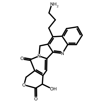 NCCCc1c2c(nc3ccccc13)-c1cc3c(c(=O)n1C2)COC(=O)C3O